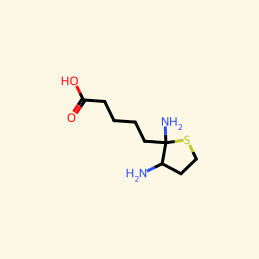 NC1CCSC1(N)CCCCC(=O)O